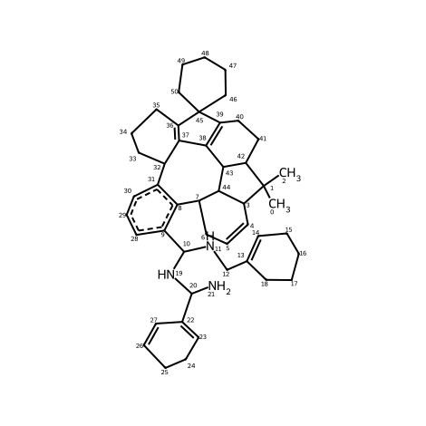 CC1(C)C2C=CCC3c4c(C(NCC5=CCCCC5)NC(N)C5=CCCC=C5)cccc4C4CCCC5=C4C4=C(CCC1C4C32)C51CCCCC1